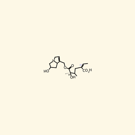 C/C=C(/CC(C)[C@@](C)(O)C(=O)OCC1=CCN2CC(O)CC12)C(=O)O